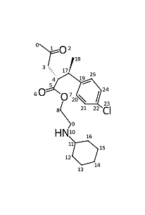 CC(=O)C[C@@H](C(=O)OCCNC1CCCCC1)[C@@H](C)c1ccc(Cl)cc1